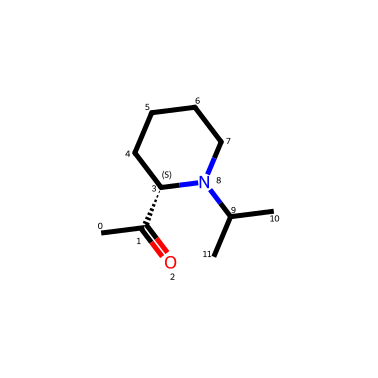 CC(=O)[C@@H]1CCCCN1C(C)C